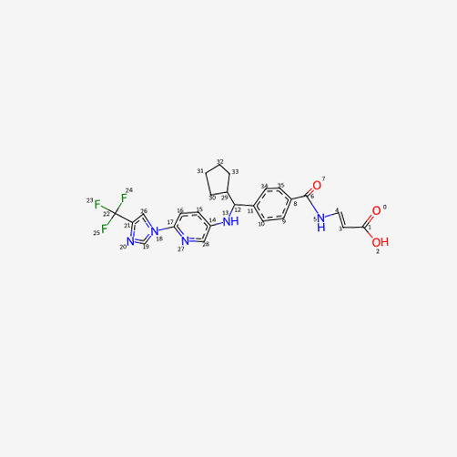 O=C(O)C=CNC(=O)c1ccc(C(Nc2ccc(-n3cnc(C(F)(F)F)c3)nc2)C2CCCC2)cc1